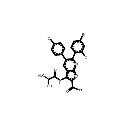 CC(C)C(=O)c1oc2nc(-c3ccc(Br)cc3Cl)c(-c3ccc(Cl)cc3)cc2c1NC(=O)[C@H](C)O